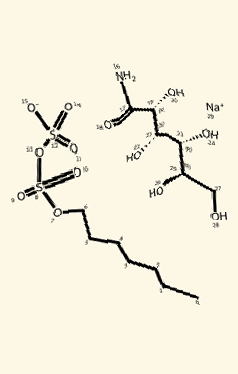 CCCCCCCOS(=O)(=O)OS(=O)(=O)[O-].NC(=O)[C@H](O)[C@@H](O)[C@H](O)[C@H](O)CO.[Na+]